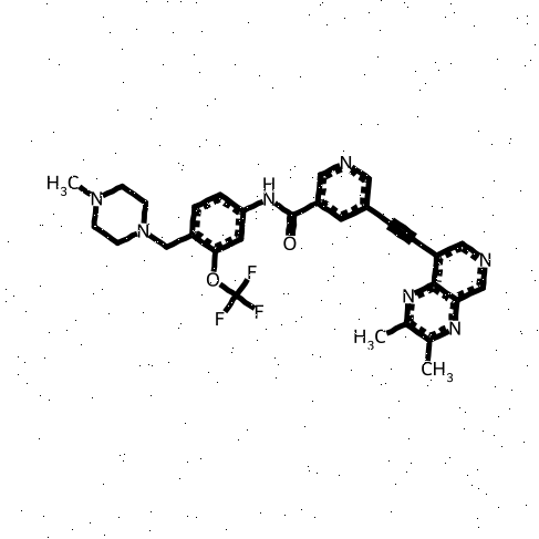 Cc1nc2cncc(C#Cc3cncc(C(=O)Nc4ccc(CN5CCN(C)CC5)c(OC(F)(F)F)c4)c3)c2nc1C